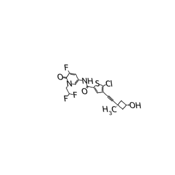 C[C@]1(C#Cc2cc(C(=O)Nc3cc(F)c(=O)n(CC(F)F)c3)sc2Cl)C[C@@H](O)C1